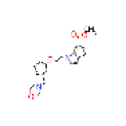 COC(=O)c1ccc2ccn(CCOc3cccc(CN4CCOCC4)c3)c2c1